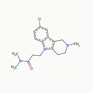 CN1CCc2c(c3cc(Cl)ccc3n2CCC(=O)N(C)C)C1